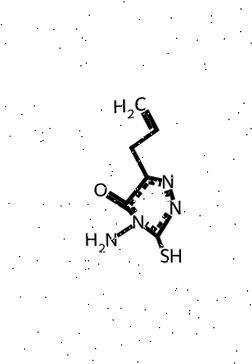 C=CCc1nnc(S)n(N)c1=O